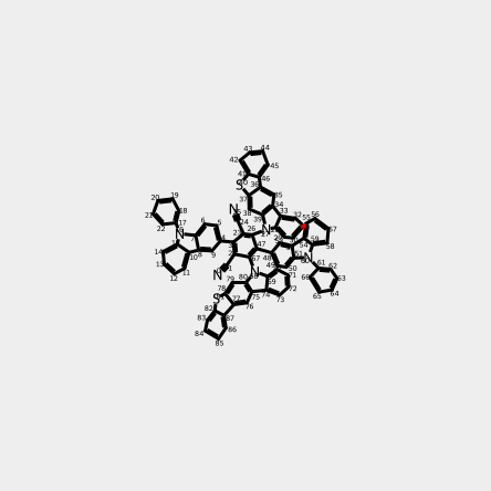 N#Cc1c(-c2ccc3c(c2)c2ccccc2n3-c2ccccc2)c(C#N)c(-n2c3ccccc3c3cc4c(cc32)sc2ccccc24)c(-c2ccc3c(c2)c2ccccc2n3-c2ccccc2)c1-n1c2ccccc2c2cc3c(cc21)sc1ccccc13